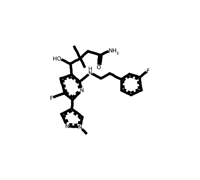 Cn1cc(-c2nc(NCCc3cccc(F)c3)c(C(O)C(C)(C)CC(N)=O)cc2F)cn1